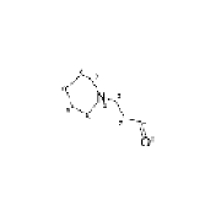 O=[C]CCN1CCCCC1